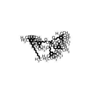 CCCCCCCCCCC(Cc1cc(C(C)(C)C)c(O)c(C(C)(C)C)c1)C(=O)Oc1c(C(C)(C)C)cc(CCC(=O)OCC(COC(=O)CCc2cc(C(C)(C)C)c(O)c(C(C)(C)C)c2)(COC(=O)CCc2cc(C(C)(C)C)c(O)c(C(C)(C)C)c2)COC(=O)CCc2cc(C(C)(C)C)c(O)c(C(C)(C)C)c2)cc1C(C)(C)C